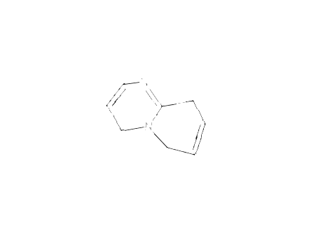 C1=CCN2CC=CN=C2C1